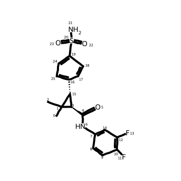 CC1(C)[C@H](C(=O)Nc2ccc(F)c(F)c2)[C@H]1c1ccc(S(N)(=O)=O)cc1